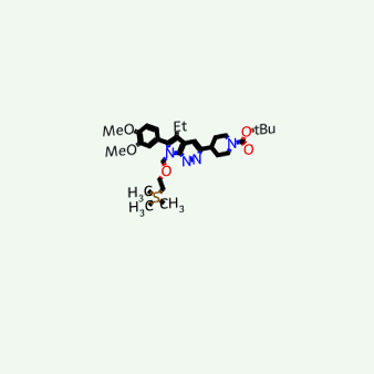 CCc1c(-c2ccc(OC)c(OC)c2)n(COCCS(C)(C)C)c2nnc(C3CCN(C(=O)OC(C)(C)C)CC3)cc12